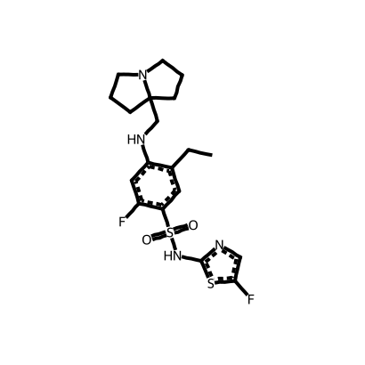 CCc1cc(S(=O)(=O)Nc2ncc(F)s2)c(F)cc1NCC12CCCN1CCC2